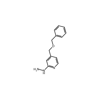 NNc1cc(COCc2ccccc2)ccn1